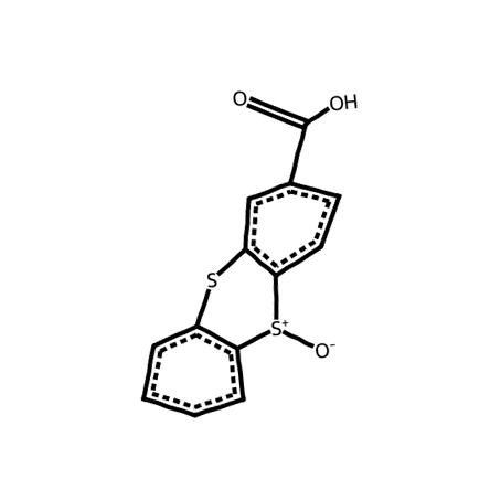 O=C(O)c1ccc2c(c1)Sc1ccccc1[S+]2[O-]